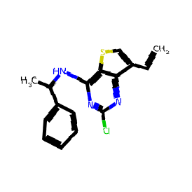 C=Cc1csc2c(NC(C)c3ccccc3)nc(Cl)nc12